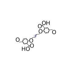 O=Cc1ccc(OC/C=C/COc2ccc(C=O)cc2C(=O)O)c(C(=O)O)c1